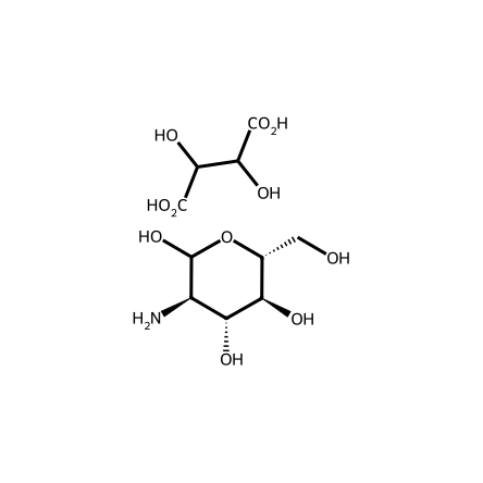 N[C@H]1C(O)O[C@H](CO)[C@@H](O)[C@@H]1O.O=C(O)C(O)C(O)C(=O)O